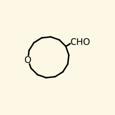 O=CC1CCCCCCCOCCCCC1